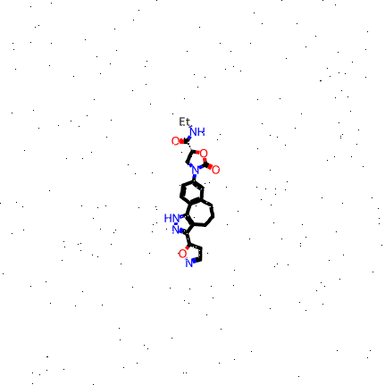 CCNC(=O)[C@H]1CN(c2ccc3c(c2)CCCc2c(C4CC=NO4)n[nH]c2-3)C(=O)O1